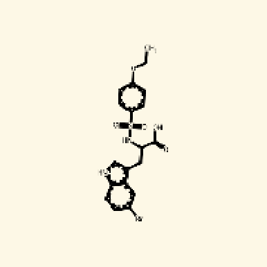 CCOc1ccc(S(=O)(=O)NC(Cc2c[nH]c3ccc(Br)cc23)C(=O)O)cc1